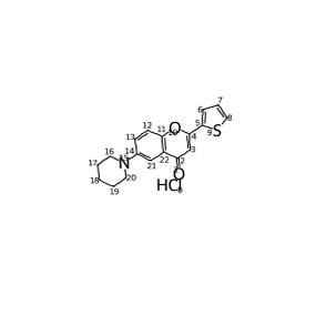 Cl.O=c1cc(-c2cccs2)oc2ccc(N3CCCCC3)cc12